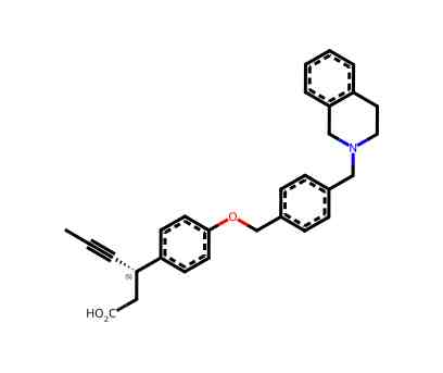 CC#C[C@@H](CC(=O)O)c1ccc(OCc2ccc(CN3CCc4ccccc4C3)cc2)cc1